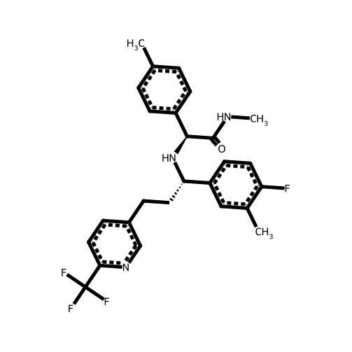 CNC(=O)[C@@H](N[C@@H](CCc1ccc(C(F)(F)F)nc1)c1ccc(F)c(C)c1)c1ccc(C)cc1